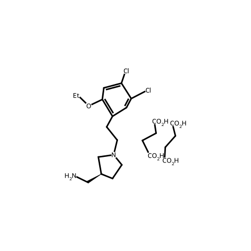 CCOc1cc(Cl)c(Cl)cc1CCN1CC[C@@H](CN)C1.O=C(O)CCC(=O)O.O=C(O)CCC(=O)O